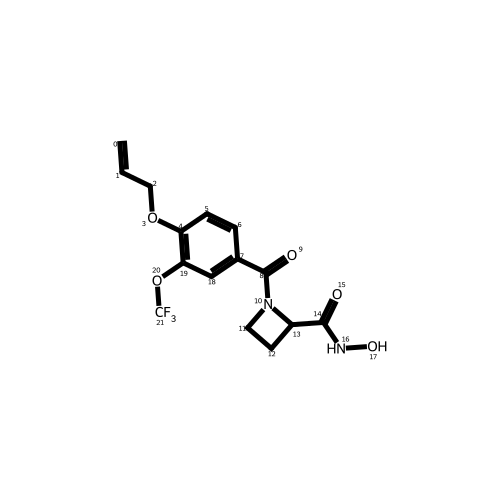 C=CCOc1ccc(C(=O)N2CCC2C(=O)NO)cc1OC(F)(F)F